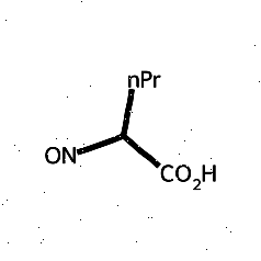 CCCC(N=O)C(=O)O